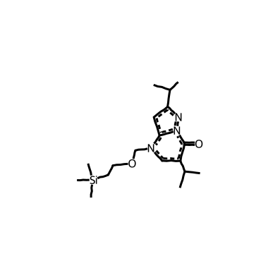 CC(C)c1cc2n(COCC[Si](C)(C)C)cc(C(C)C)c(=O)n2n1